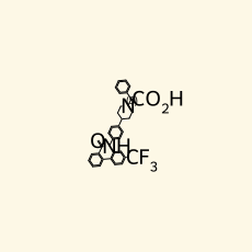 O=C(Nc1ccc(C2CCN([C@H](C(=O)O)c3ccccc3)CC2)cc1)c1ccccc1-c1ccc(C(F)(F)F)cc1